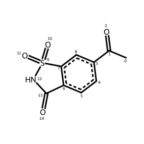 CC(=O)c1ccc2c(c1)S(=O)(=O)NC2=O